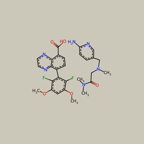 CN(CC(=O)N(C)C)Cc1ccc(N)nc1.COc1cc(OC)c(F)c(-c2ccc(C(=O)O)c3nccnc23)c1F